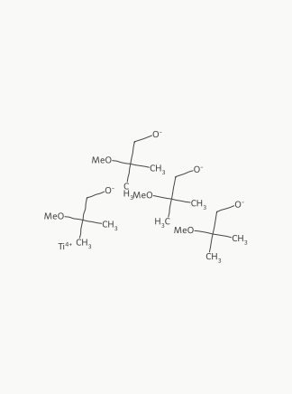 COC(C)(C)C[O-].COC(C)(C)C[O-].COC(C)(C)C[O-].COC(C)(C)C[O-].[Ti+4]